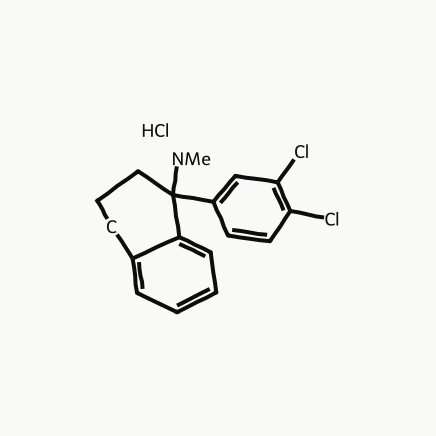 CNC1(c2ccc(Cl)c(Cl)c2)CCCc2ccccc21.Cl